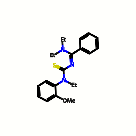 CCN(CC)C(=NC(=S)N(CC)c1ccccc1OC)c1ccccc1